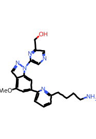 COc1cc(-c2cccc(CCCCN)n2)cc2c1cnn2-c1cncc(CO)n1